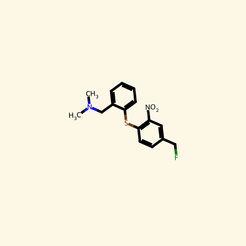 CN(C)Cc1ccccc1Sc1ccc(CF)cc1[N+](=O)[O-]